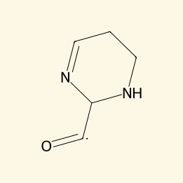 O=[C]C1N=CCCN1